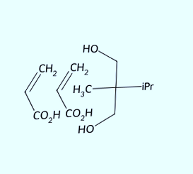 C=CC(=O)O.C=CC(=O)O.CC(C)C(C)(CO)CO